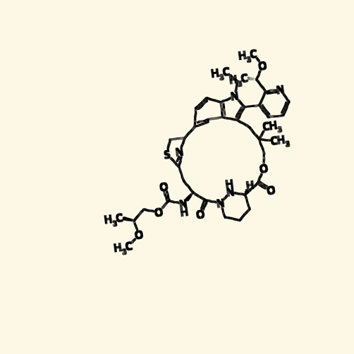 CCn1c(-c2cccnc2[C@H](C)OC)c2c3cc(ccc31)C1CSC(=N1)C[C@H](NC(=O)OC[C@H](C)OC)C(=O)N1CCC[C@H](N1)C(=O)OCC(C)(C)C2